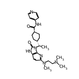 CC([C@H]1CC[C@H](C(=O)Nc2ccncc2)CC1)n1c(=O)[nH]c2ccc(N(C)CCN(C)C)nc21